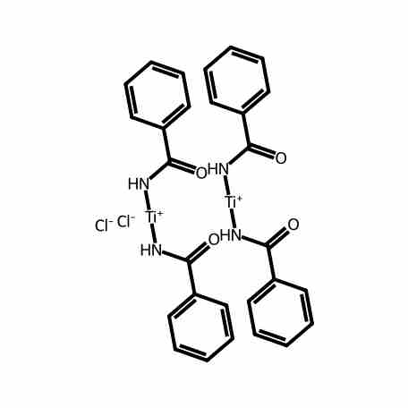 O=C([NH][Ti+][NH]C(=O)c1ccccc1)c1ccccc1.O=C([NH][Ti+][NH]C(=O)c1ccccc1)c1ccccc1.[Cl-].[Cl-]